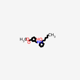 CCCCCC(O)c1ccccc1NCc1cccc(C(=O)OC)c1